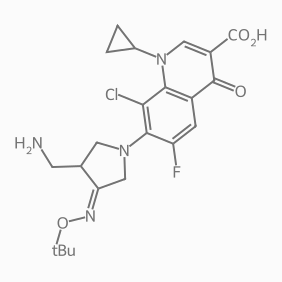 CC(C)(C)ON=C1CN(c2c(F)cc3c(=O)c(C(=O)O)cn(C4CC4)c3c2Cl)CC1CN